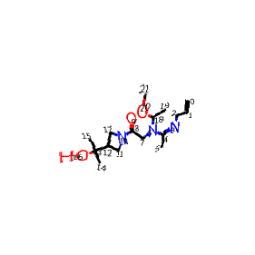 C=CC/N=C(/C)N(CC(=O)N1CC(C(C)(C)O)C1)C(C)OC